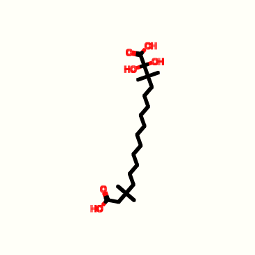 CC(C)(CCCCCCCCCCCC(C)(C)C(O)(O)C(=O)O)CC(=O)O